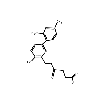 Cc1ccc(-c2ccc(O)c(CCC(=O)CCC(=O)O)n2)c(C)c1